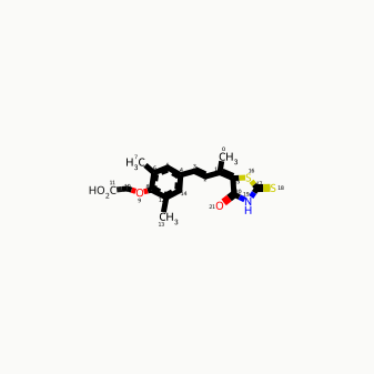 CC(/C=C/c1cc(C)c(OCC(=O)O)c(C)c1)=C1\SC(=S)NC1=O